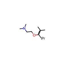 CC(C)=C(OCCN(C)C)C(C)C